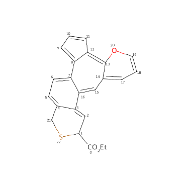 CCOC(=O)C1C=c2c(ccc3c4cccc-4c4c(cc23)=CC=CO4)CS1